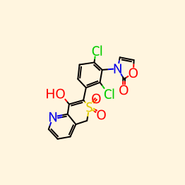 O=c1occn1-c1c(Cl)ccc(C2=C(O)c3ncccc3CS2(=O)=O)c1Cl